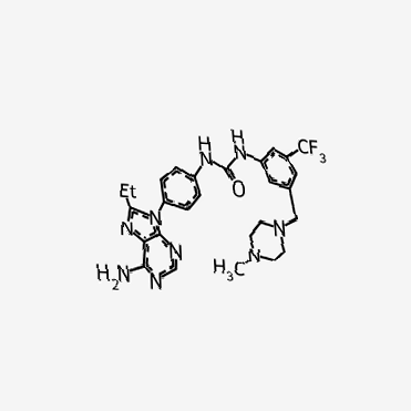 CCc1nc2c(N)ncnc2n1-c1ccc(NC(=O)Nc2cc(CN3CCN(C)CC3)cc(C(F)(F)F)c2)cc1